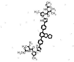 COC(=O)N[C@H](C(=O)N1C[C@@H](C)C[C@H]1c1ncc(-c2ccc(-c3ccc(-c4ccc(-c5cnc([C@@H]6C[C@H](C)CN6C(=O)[C@@H](NC(=O)OC)C(C)C)[nH]5)cc4)c4c3CC3(CCCC3)C4)cc2)[nH]1)C(C)C